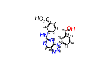 O=C(O)c1cccc(Nc2ncc3nnn(-c4cccc(CO)c4)c3n2)c1